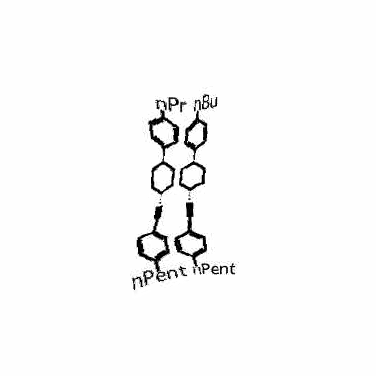 CCCCCc1ccc(C#C[C@H]2CC[C@H](c3ccc(CCC)cc3)CC2)cc1.CCCCCc1ccc(C#C[C@H]2CC[C@H](c3ccc(CCCC)cc3)CC2)cc1